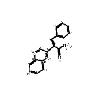 NC(=O)/C(=C\c1ccccc1)c1cnc2ccccc2c1